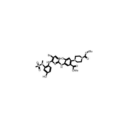 COC(=O)c1cc(Nc2ncc(Br)c(Nc3ccc(O)cc3N(C)S(C)(=O)=O)n2)c(OC)cc1N1CCN(C(=O)OC(C)(C)C)CC1